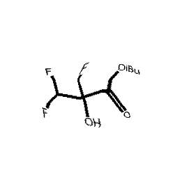 CC(C)COC(=O)C(O)(F)C(F)F